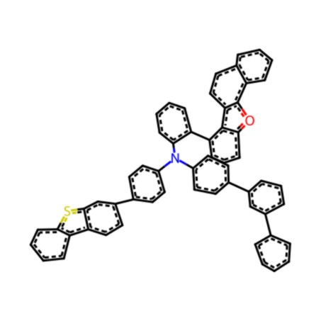 c1ccc(-c2cccc(-c3ccc(N(c4ccc(-c5ccc6c(c5)sc5ccccc56)cc4)c4ccccc4-c4cccc5oc6c7ccccc7ccc6c45)cc3)c2)cc1